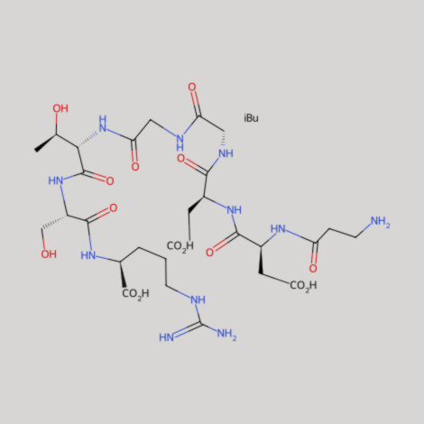 CC[C@H](C)[C@H](NC(=O)[C@H](CC(=O)O)NC(=O)[C@H](CC(=O)O)NC(=O)CCN)C(=O)NCC(=O)N[C@H](C(=O)N[C@@H](CO)C(=O)N[C@@H](CCCNC(=N)N)C(=O)O)[C@@H](C)O